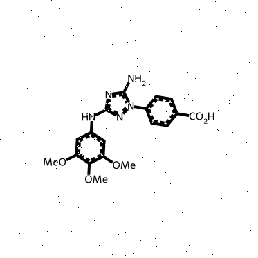 COc1cc(Nc2nc(N)n(-c3ccc(C(=O)O)cc3)n2)cc(OC)c1OC